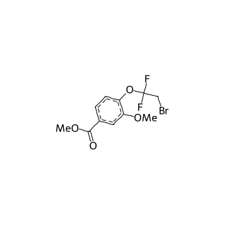 COC(=O)c1ccc(OC(F)(F)CBr)c(OC)c1